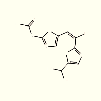 CC(=O)Nc1ncc(/C=C(/Br)c2ncc(C(C)C)o2)s1